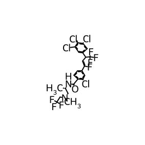 C[C@H](CN(C)CC(F)(F)F)NC(=O)c1ccc(/C(F)=C/C(c2cc(Cl)c(Cl)c(Cl)c2)C(F)(F)F)cc1Cl